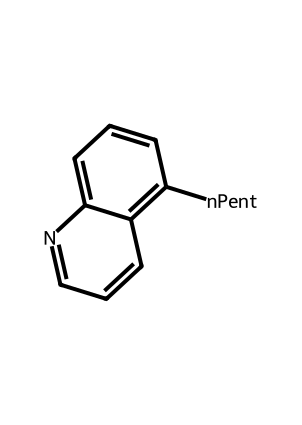 [CH2]CCCCc1cccc2ncccc12